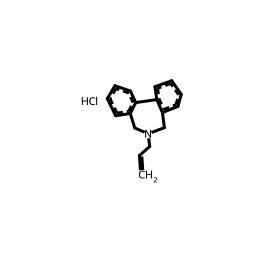 C=CCN1Cc2ccccc2-c2ccccc2C1.Cl